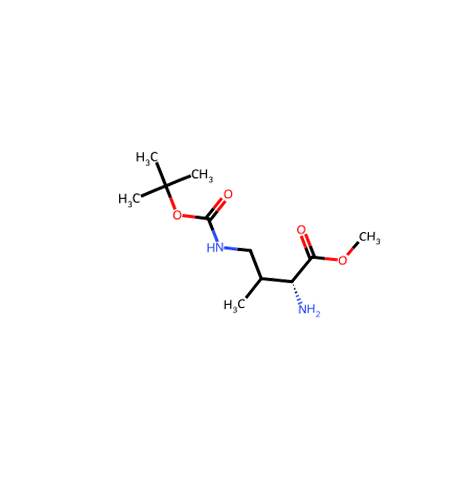 COC(=O)[C@H](N)C(C)CNC(=O)OC(C)(C)C